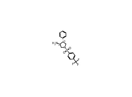 N[C@@H]1CN(S(=O)(=O)c2ccc(C(F)(F)F)cc2)C[C@H]1c1ccccc1